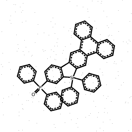 O=P(c1ccccc1)(c1ccccc1)c1ccc2c(c1)[Si](c1ccccc1)(c1ccccc1)c1cc3c4ccccc4c4ccccc4c3cc1-2